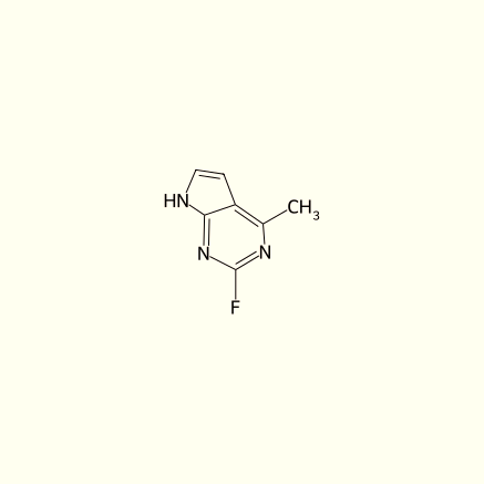 Cc1nc(F)nc2[nH]ccc12